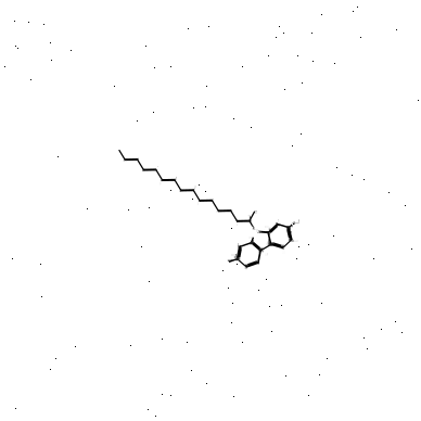 CCCCCCCCCCCCCCC(C)n1c2cc(Br)ccc2c2ccc(Br)cc21